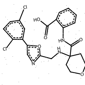 O=C(O)c1ccccc1NC(=O)C1(NCc2ncc(-c3cc(Cl)ccc3Cl)o2)CCOCC1